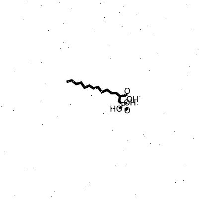 CCCCCCCCCCCCC(CP(=O)(O)O)C(=O)O